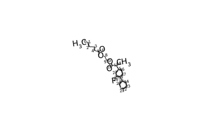 CC=CC=CC(=O)OCCOC(=O)C(C)c1ccc(-c2ccccc2)c(F)c1